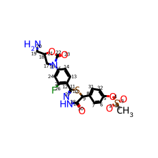 CS(=O)(=O)Oc1ccc(C2SC(c3ccc(N4CC(CN)OC4=O)cc3F)=NNC2=O)cc1